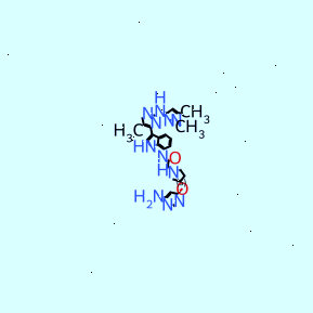 Cc1cnc(Nc2cc(C)n(C)n2)nc1-c1c[nH]c2c(NC(=O)CN3CC[C@H](Oc4cc(N)ncn4)C3)cccc12